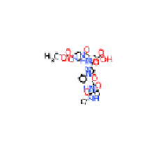 CCOC(=O)ON1CCN(C(=O)[C@H](CCC(=O)O)NC(=O)c2cc(OCC(=O)NC3(C(=O)NC4CCC4)CCC3)n(-c3ccccc3)n2)CC1